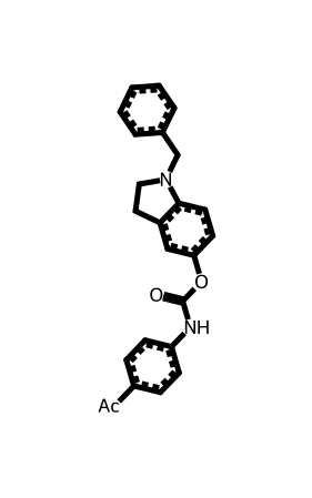 CC(=O)c1ccc(NC(=O)Oc2ccc3c(c2)CCN3Cc2ccccc2)cc1